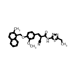 CCc1nnc(NC(=O)/C(C#N)=C/c2ccc(OCc3c(C)ccc4ccccc34)c(OC)c2)s1